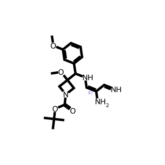 COc1cccc(C(N/C=C(/N)C=N)C2(OC)CN(C(=O)OC(C)(C)C)C2)c1